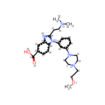 COCCN1CCN(c2cccc(-n3c(CCN(C)C)nc4cc(C(=O)O)ccc43)c2)CC1